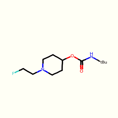 CC(C)(C)NC(=O)OC1CCN(CCF)CC1